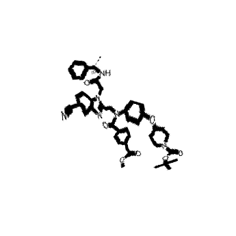 COC(=O)c1ccc(C(=O)N(Cc2nc3cc(C#N)ccc3n2CC(=O)N[C@@H](C)c2ccccc2)c2ccc(OC3CCN(C(=O)OC(C)(C)C)CC3)cc2)cc1